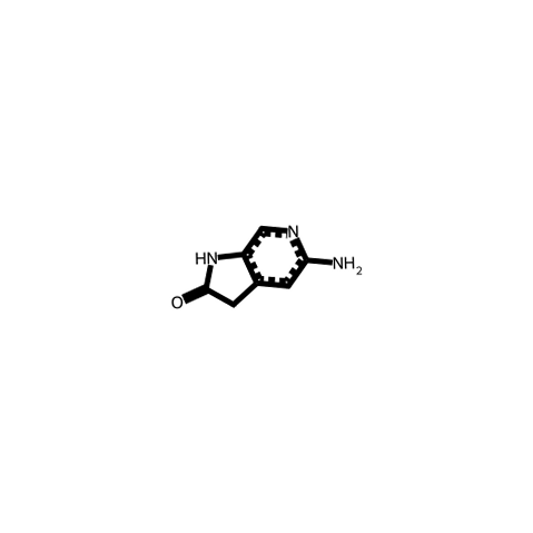 Nc1cc2c(cn1)NC(=O)C2